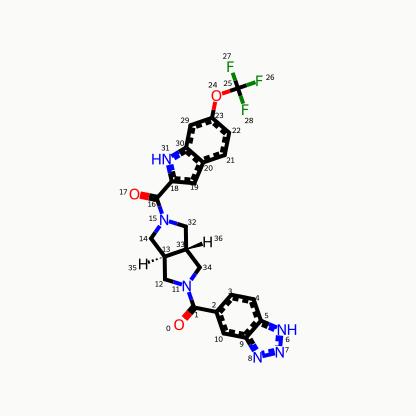 O=C(c1ccc2[nH]nnc2c1)N1C[C@H]2CN(C(=O)c3cc4ccc(OC(F)(F)F)cc4[nH]3)C[C@@H]2C1